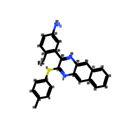 Cc1ccc(Sc2nc3cc4ccccc4cc3nc2-c2cc(N)ccc2C(F)(F)F)cc1